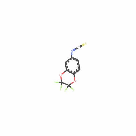 FC1(F)Oc2ccc(N=C=S)cc2OC1(F)F